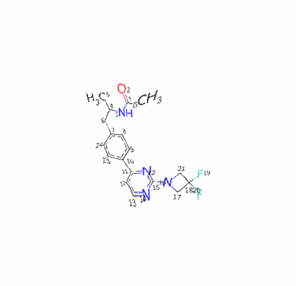 CC(=O)NC(C)Cc1ccc(-c2ccnc(N3CC(F)(F)C3)n2)cc1